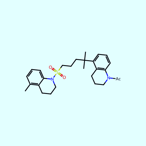 CC(=O)N1CCCc2c1cccc2C(C)(C)CCCS(=O)(=O)N1CCCc2c(C)cccc21